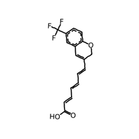 O=C(O)C=CC=CC=CC1=Cc2cc(C(F)(F)F)ccc2OC1